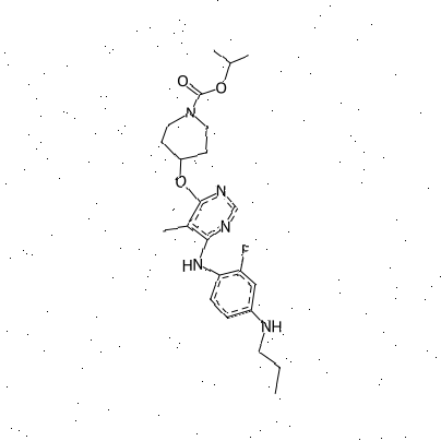 CCCNc1ccc(Nc2ncnc(OC3CCN(C(=O)OC(C)C)CC3)c2C)c(F)c1